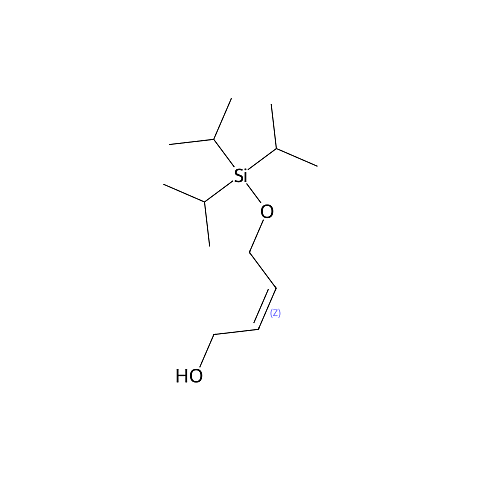 CC(C)[Si](OC/C=C\CO)(C(C)C)C(C)C